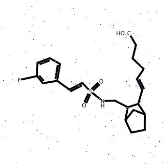 O=C(O)CCC/C=C/C1C2CCC(C2)C1CNS(=O)(=O)/C=C/c1cccc(F)c1